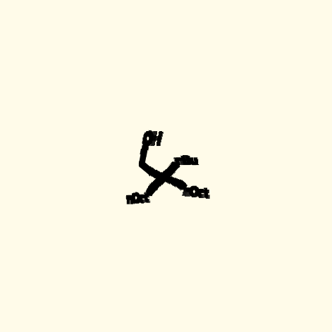 CCCCCCCCC(CO)(CCCC)CCCCCCCC